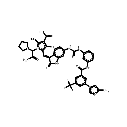 Cc1cn(-c2cc(C(=O)Nc3cccc(NC(=O)Nc4ccc5c(c4)NC(=O)C5=Cc4c(C)c(C(=O)O)c(C)n4C(C(N)=O)N4CCCC4)c3)cc(C(F)(F)F)c2)cn1